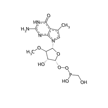 COC1[C@@H](O)[C@@H](OOP(O)CO)O[C@H]1n1cc(C)c2c(=O)[nH]c(N)nc21